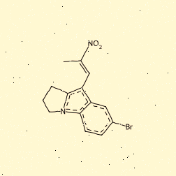 CC(=Cc1c2n(c3ccc(Br)cc13)CCC2)[N+](=O)[O-]